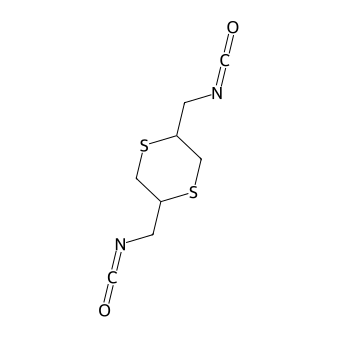 O=C=NCC1CSC(CN=C=O)CS1